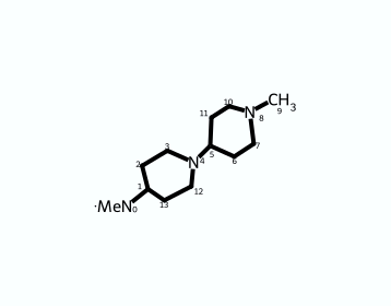 C[N]C1CCN(C2CCN(C)CC2)CC1